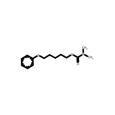 CN(C)C(=O)SCCCCCSc1ccccc1